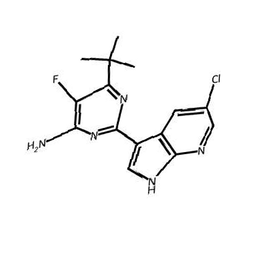 CC(C)(C)c1nc(-c2c[nH]c3ncc(Cl)cc23)nc(N)c1F